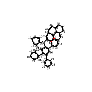 C1=CC2=CCc3cc(N4c5ccccc5B5c6ccccc6-c6c(-c7ccccc7)cc(-c7ccccc7)c4c65)cc4c3C2C(=C1)C=C4